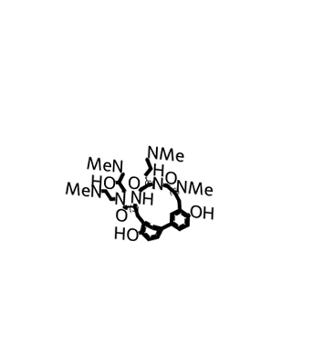 CNCCC[C@@H]1NC(=O)[C@@H](NC)Cc2cc(ccc2O)-c2ccc(O)c(c2)C[C@@H](C(=O)N(CCNC)CC(O)CNC)NC1=O